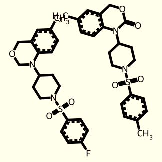 Cc1ccc(S(=O)(=O)N2CCC(N3C(=O)OCc4cc(C)ccc43)CC2)cc1.Cc1ccc2c(c1)COCN2C1CCN(S(=O)(=O)c2ccc(F)cc2)CC1